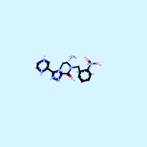 C[C@H]1Cn2c(nnc2-c2cnccn2)C(=O)N1Cc1ccccc1[N+](=O)[O-]